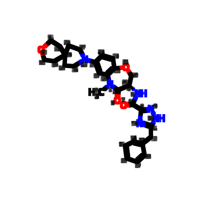 CN1C(=O)[C@@H](NC(=O)c2n[nH]c(Cc3ccccc3)n2)COc2ccc(N3CCC4(CCOCC4)CC3)cc21